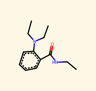 CCNC(=O)c1ccccc1N(CC)CC